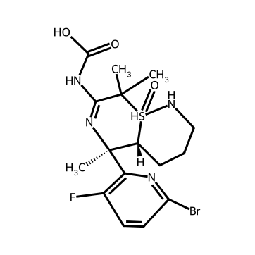 CC1(C)C(NC(=O)O)=N[C@](C)(c2nc(Br)ccc2F)[C@H]2CCCN[SH]21=O